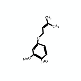 COc1cc(OCC=C(C)C)ccc1C=O